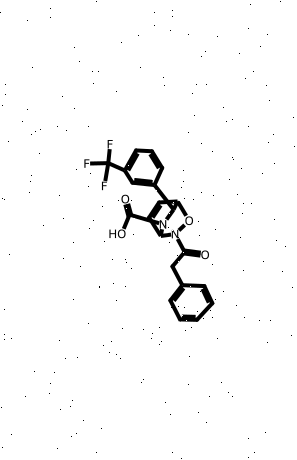 O=C(Cc1ccccc1)N1OC2C=CC1N(C(=O)O)C2c1cccc(C(F)(F)F)c1